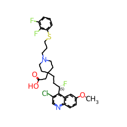 COc1ccc2ncc(Cl)c([C@@H](F)CCC3(CC(=O)O)CCN(CCCSc4cccc(F)c4F)CC3)c2c1